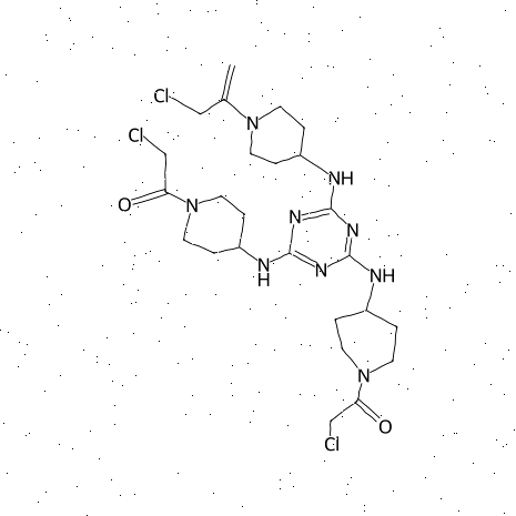 C=C(CCl)N1CCC(Nc2nc(NC3CCN(C(=O)CCl)CC3)nc(NC3CCN(C(=O)CCl)CC3)n2)CC1